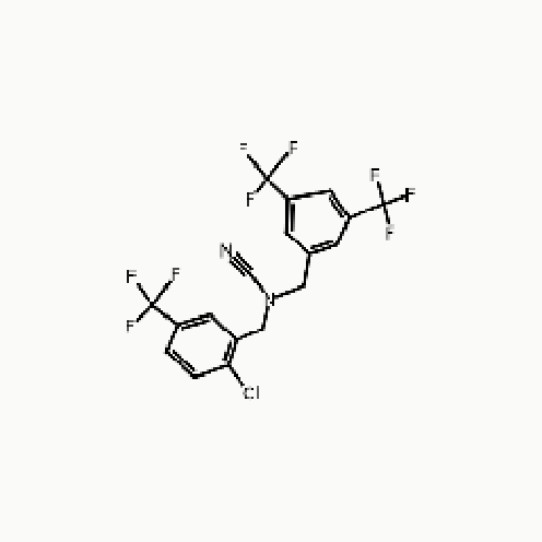 N#CN(Cc1cc(C(F)(F)F)cc(C(F)(F)F)c1)Cc1cc(C(F)(F)F)ccc1Cl